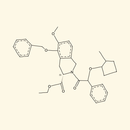 CCOC(=O)[C@@H]1Cc2c(ccc(OC)c2OCc2ccccc2)CN1C(=O)C(OC1CCCC1C)c1ccccc1